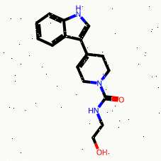 O=C(NCCO)N1CC=C(c2c[nH]c3ccccc23)CC1